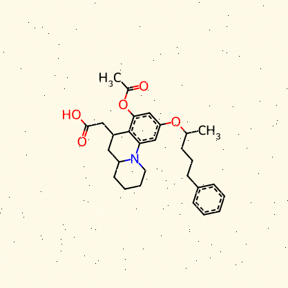 CC(=O)Oc1cc(OC(C)CCCc2ccccc2)cc2c1C(CC(=O)O)CC1CCCCN21